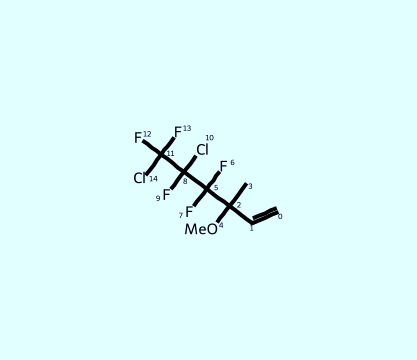 C=CC(C)(OC)C(F)(F)C(F)(Cl)C(F)(F)Cl